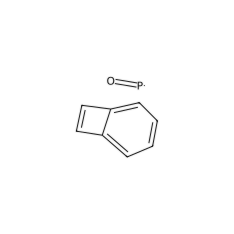 C1=Cc2ccccc21.O=[P]